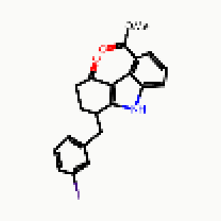 COC(=O)c1cccc2[nH]c3c(c12)C(=O)CCC3Cc1cccc(I)c1